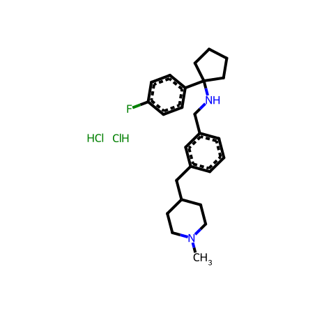 CN1CCC(Cc2cccc(CNC3(c4ccc(F)cc4)CCCC3)c2)CC1.Cl.Cl